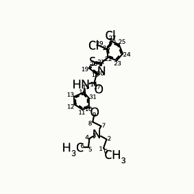 CCCN(CCC)CCOc1cccc(NC(=O)c2csc(-c3cccc(Cl)c3Cl)n2)c1